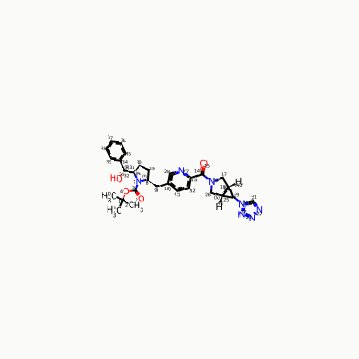 CC(C)(C)OC(=O)N1[C@H](Cc2ccc(C(=O)N3C[C@@H]4C(n5cnnn5)[C@@H]4C3)nc2)CC[C@@H]1[C@H](O)c1ccccc1